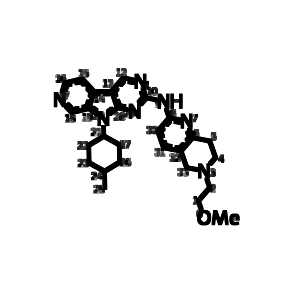 COCCN1CCc2nc(Nc3ncc4c5ccncc5n(C5CCC(C)CC5)c4n3)ccc2C1